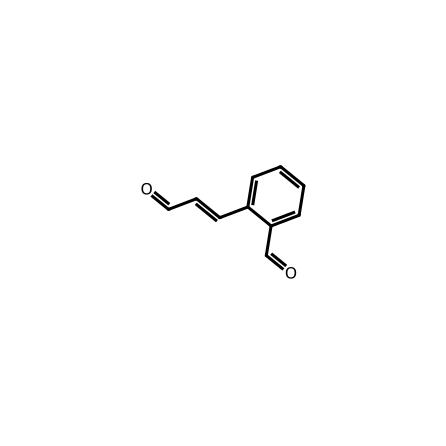 O=CC=Cc1ccccc1C=O